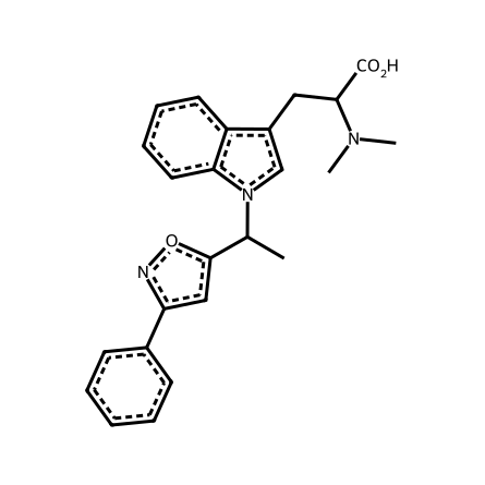 CC(c1cc(-c2ccccc2)no1)n1cc(CC(C(=O)O)N(C)C)c2ccccc21